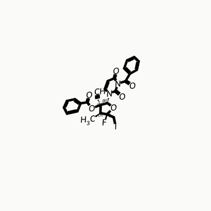 C#C[C@]1(OC(=O)c2ccccc2)[C@H](n2ccc(=O)n(C(=O)c3ccccc3)c2=O)O[C@](F)(CI)[C@H]1C